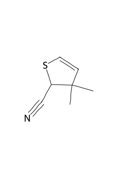 CC1(C)C=CSC1C#N